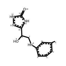 Cc1cccc(NCC(O)c2n[nH]c(=O)[nH]2)c1